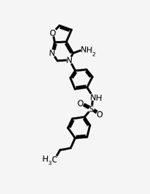 CCCc1ccc(S(=O)(=O)Nc2ccc(N3CN=c4occc4=C3N)cc2)cc1